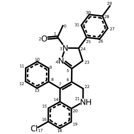 CC(=O)N1N=C(C2=C(c3ccccc3)c3cc(Cl)ccc3NC2)CC1c1ccc(C)cc1